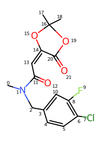 CN(Cc1ccc(Cl)c(F)c1)C(=O)/C=C1/OC(C)(C)OC1=O